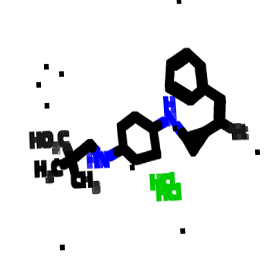 CCC(=Cc1ccccc1)C1CC1NC1CCC(NCC(C)(C)C(=O)O)CC1.Cl.Cl